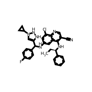 CC[C@@H](Nc1c(C#N)cnc2c(Cl)cc(NC(C3=CN(C4CC4)NN3)c3ccc(F)cc3)cc12)c1ccccc1